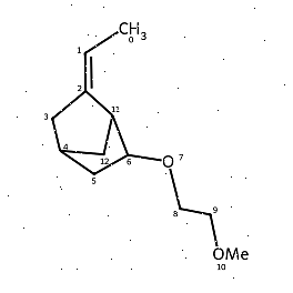 CC=C1CC2CC(OCCOC)C1C2